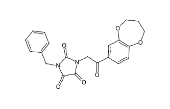 O=C(CN1C(=O)C(=O)N(Cc2ccccc2)C1=O)c1ccc2c(c1)OCCCO2